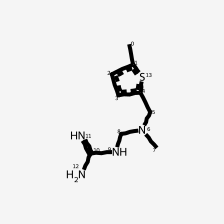 Cc1ccc(CN(C)CNC(=N)N)s1